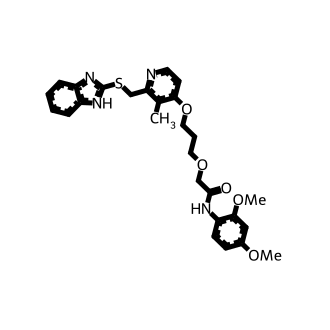 COc1ccc(NC(=O)COCCCOc2ccnc(CSc3nc4ccccc4[nH]3)c2C)c(OC)c1